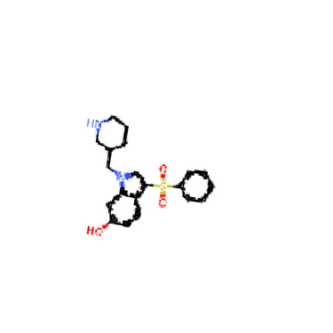 O=S(=O)(c1ccccc1)c1cn(CC2CCCNC2)c2cc(O)ccc12